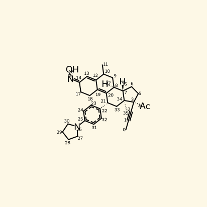 CC#C[C@]1(C(C)=O)CC[C@H]2[C@@H]3CC(C)C4=CC(=NO)CCC4=C3[C@@H](c3ccc(N4CCCC4)cc3)C[C@@]21C